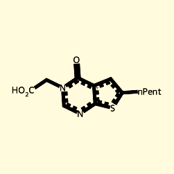 CCCCCc1cc2c(=O)n(CC(=O)O)cnc2s1